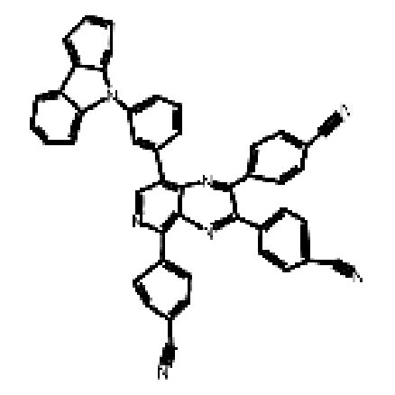 N#Cc1ccc(-c2nc3c(-c4cccc(-n5c6ccccc6c6ccccc65)c4)cnc(-c4ccc(C#N)cc4)c3nc2-c2ccc(C#N)cc2)cc1